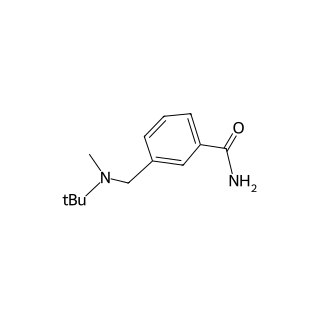 CN(Cc1cccc(C(N)=O)c1)C(C)(C)C